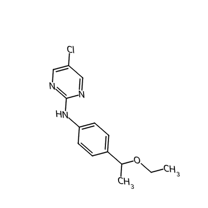 CCOC(C)c1ccc(Nc2ncc(Cl)cn2)cc1